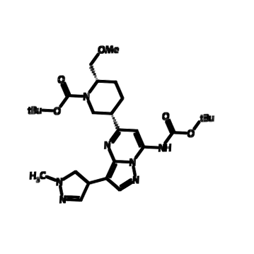 COC[C@@H]1CC[C@H](c2cc(NC(=O)OC(C)(C)C)n3ncc(C4C=NN(C)C4)c3n2)CN1C(=O)OC(C)(C)C